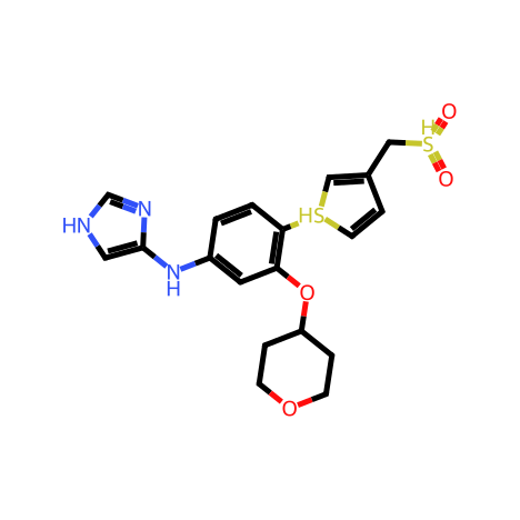 O=[SH](=O)CC1=C[SH](c2ccc(Nc3c[nH]cn3)cc2OC2CCOCC2)C=C1